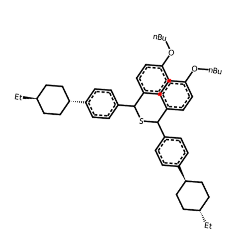 CCCCOc1ccc(C(SC(c2ccc(OCCCC)cc2)c2ccc([C@H]3CC[C@H](CC)CC3)cc2)c2ccc([C@H]3CC[C@H](CC)CC3)cc2)cc1